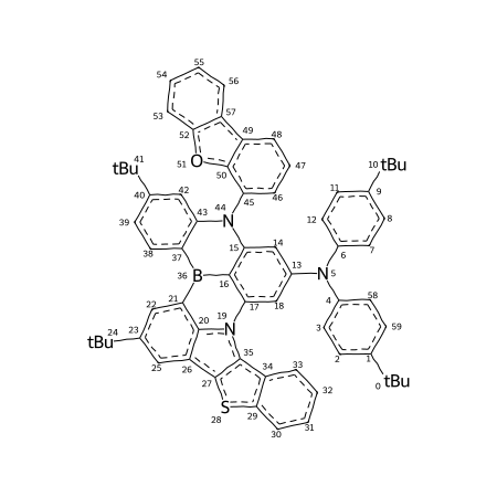 CC(C)(C)c1ccc(N(c2ccc(C(C)(C)C)cc2)c2cc3c4c(c2)-n2c5c(cc(C(C)(C)C)cc5c5sc6ccccc6c52)B4c2ccc(C(C)(C)C)cc2N3c2cccc3c2oc2ccccc23)cc1